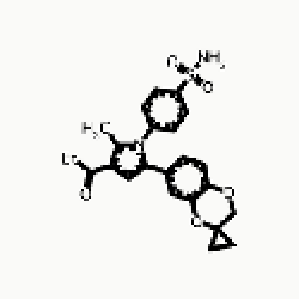 CCC(=O)c1cc(-c2ccc3c(c2)OC2(CC2)CO3)n(-c2ccc(S(N)(=O)=O)cc2)c1C